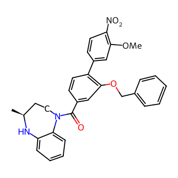 COc1cc(-c2ccc(C(=O)N3CC[C@H](C)Nc4ccccc43)cc2OCc2ccccc2)ccc1[N+](=O)[O-]